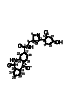 O=C(NCc1cnc(-c2ccc(O)cc2Cl)s1)c1ccc2c(c1)NC(=O)c1ccccc1[S+]2[O-]